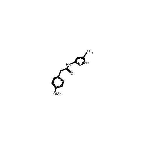 COc1ccc(CC(=O)Nc2cc(C)[nH]n2)cc1